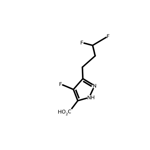 O=C(O)c1[nH]nc(CCC(F)F)c1F